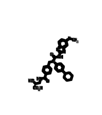 O=C(NC[C@@H](O)C(=O)O)c1ccc(CN(C(=O)Nc2nc3cc(SC(F)(F)F)ccc3s2)c2ccc(C3CCCCC3)cc2)cc1